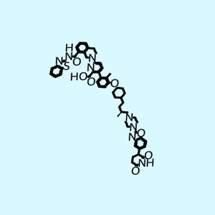 Cc1c(OC2CCC(CC[C@H](C)CN3CCN(c4nc5cc(C6CCC(=O)NC6=O)ccc5o4)CC3)CC2)cccc1-c1ccc(N2CCc3cccc(C(=O)Nc4nc5ccccc5s4)c3C2)nc1C(=O)O